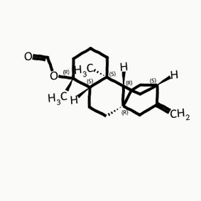 C=C1C[C@]23CC[C@H]1C[C@H]2[C@]1(C)CCC[C@@](C)(OC=O)[C@H]1CC3